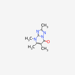 Cc1nc2n(C)c(C)c(C)c(=O)n2n1